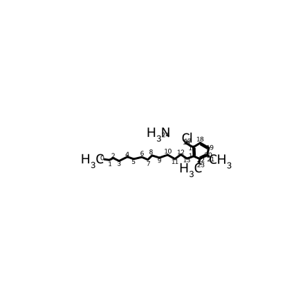 CCCCCCCCCCCCCCc1c(CCl)ccc(C)c1C.N